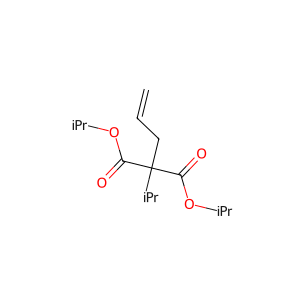 C=CCC(C(=O)OC(C)C)(C(=O)OC(C)C)C(C)C